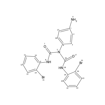 Nc1ccc(N(C(=O)Nc2ccccc2Br)C(=O)Nc2ccccc2Br)cc1